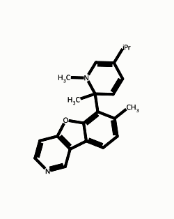 Cc1ccc2c(oc3ccncc32)c1C1(C)C=CC(C(C)C)=CN1C